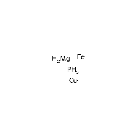 P.[Cu].[Fe].[MgH2]